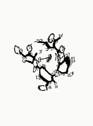 CCC(C)(NC(=O)c1cc(Cl)c(C)c(Cl)c1)C(=O)CCl.Cc1cc(C(=O)NC2CCCCC2)c(C)o1